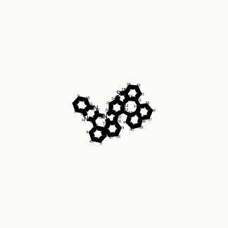 c1ccc(-c2nc3ccccc3nc2-n2c3ccccc3c3c4c5c(cc32)sc2cccc(c25)-c2cccc3cccc-4c23)cc1